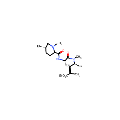 CCOC(=O)/C(C)=C/[C@H](C(C)C)N(C)C(=O)[C@@H](NC(=O)C1CC[C@H](CC)CN1C)C(C)(C)C